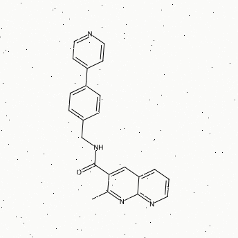 Cc1nc2ncccc2cc1C(=O)NCc1ccc(-c2ccncc2)cc1